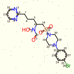 O=CN(O)C(CCCc1ncccn1)CS(=O)(=O)N1CCN(c2ccc(Br)cc2)CC1